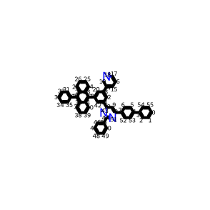 c1ccc(-c2ccc(-c3cc(-c4cc(-c5cccnc5)cc(-c5c6ccccc6c(-c6ccccc6)c6ccccc56)c4)nc(-c4ccccc4)n3)cc2)cc1